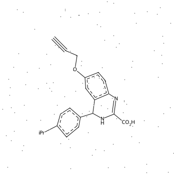 C#CCOc1ccc2c(c1)C(c1ccc(C(C)C)cc1)NC(C(=O)O)=N2